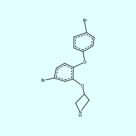 Brc1ccc(Oc2ccc(Br)cc2OC2CNC2)cc1